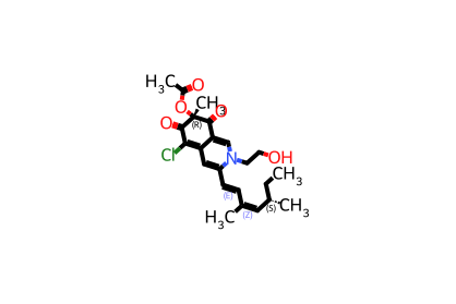 CC[C@H](C)/C=C(C)\C=C\C1=CC2=C(Cl)C(=O)[C@](C)(OC(C)=O)C(=O)C2=CN1CCO